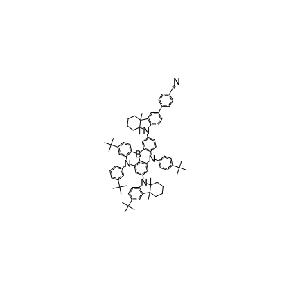 CC(C)(C)c1ccc(N2c3ccc(N4c5ccc(-c6ccc(C#N)cc6)cc5C5(C)CCCCC45C)cc3B3c4ccc(C(C)(C)C)cc4N(c4cccc(C(C)(C)C)c4)c4cc(N5c6ccc(C(C)(C)C)cc6C6(C)CCCCC56C)cc2c43)cc1